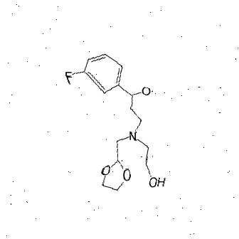 [O]C(CCN(CCO)CC1OCCO1)c1cccc(F)c1